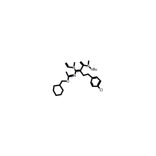 C=CN(C)C(/N=C(\C)OCC1CCCCC1)=C(/CCc1ccc(Cl)cc1)C(=C)N(C)CCCC